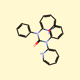 O=C(N(C1=CC=CC=CN1)c1ccccc1)N(C1=CC=CC=CN1)c1ccccc1